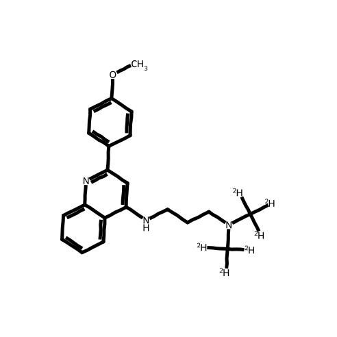 [2H]C([2H])([2H])N(CCCNc1cc(-c2ccc(OC)cc2)nc2ccccc12)C([2H])([2H])[2H]